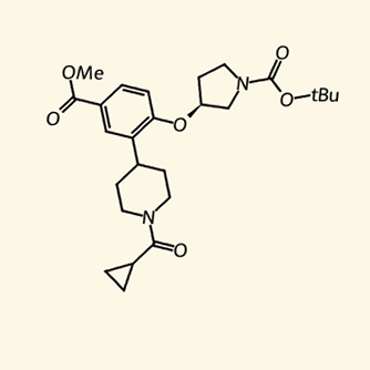 COC(=O)c1ccc(O[C@H]2CCN(C(=O)OC(C)(C)C)C2)c(C2CCN(C(=O)C3CC3)CC2)c1